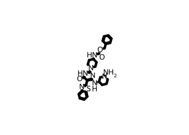 NN1CCC[C@@H](Nc2nc(N3CCC(NC(=O)OCc4ccccc4)CC3)[nH]c(=O)c2-c2nc3ccccc3s2)C1